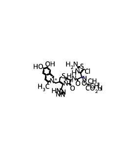 Cc1cc2cc(O)c(O)cc2c[n+]1CC1=C(c2nnn[nH]2)N2C(=O)[C@@H](NC(=O)/C(=N\OC(C)(C)C(=O)O)c3nc(N)sc3Cl)[C@H]2SC1